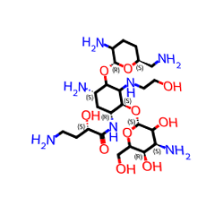 NCC[C@H](O)C(=O)N[C@@H]1C[C@H](N)C(O[C@H]2O[C@H](CN)CCC2N)C(NCCO)[C@H]1O[C@H]1OC(CO)[C@H](O)[C@H](N)C1O